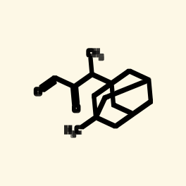 CC(C(=O)C=O)C12CC3CC(CC(C)(C3)C1)C2